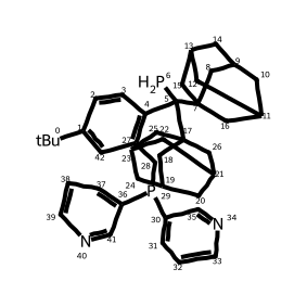 CC(C)(C)c1ccc(C(P)(C23CC4CC(CC(C4)C2)C3)C23CC4CC(CC(C4)C2)C3)c(CP(c2cccnc2)c2cccnc2)c1